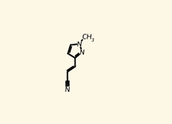 Cn1ccc(C=CC#N)n1